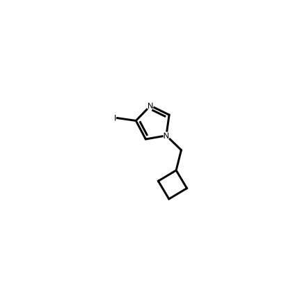 Ic1cn(CC2CCC2)cn1